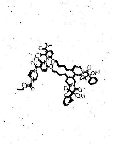 CCOC(=O)N1CCN(C(=O)c2ccc(OCCCCC3CCN(C(=O)C(O)(c4ccccc4)C(F)(F)F)CC3C3CN(C(=O)[C@@](O)(c4ccccc4)C(F)(F)F)CCC3CCCCOc3ccc(C(=O)N(C)C)c(Cl)n3)nc2Cl)CC1